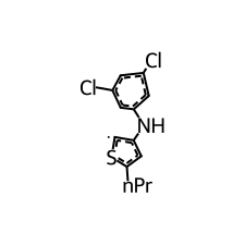 CCCc1cc(Nc2cc(Cl)cc(Cl)c2)[c]s1